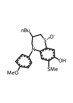 CCCCC1CN(c2ccc(OC)cc2)c2cc(SC)c(O)cc2[S+]([O-])C1